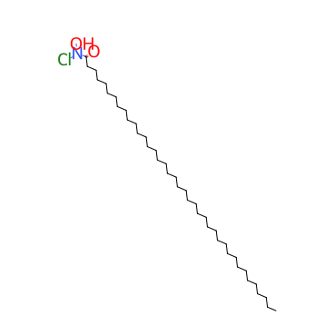 CCCCCCCCCCCCCCCCCCCCCCCCCCCCCCCCCCCCCCC(=O)N(O)Cl